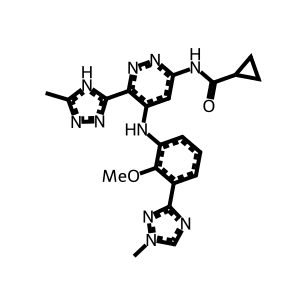 COc1c(Nc2cc(NC(=O)C3CC3)nnc2-c2nnc(C)[nH]2)cccc1-c1ncn(C)n1